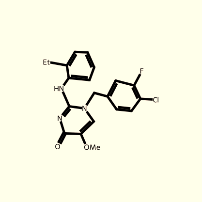 CCc1ccccc1Nc1nc(=O)c(OC)cn1Cc1ccc(Cl)c(F)c1